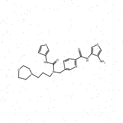 Nc1cscc1NC(=O)c1ccc(CN(CCCN2CCOCC2)C(=O)Nc2ccsc2)cn1